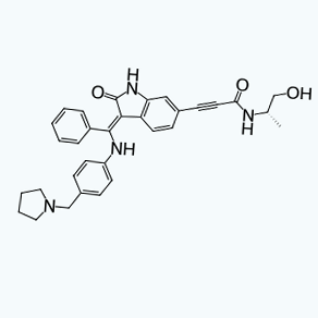 C[C@@H](CO)NC(=O)C#Cc1ccc2c(c1)NC(=O)C2=C(Nc1ccc(CN2CCCC2)cc1)c1ccccc1